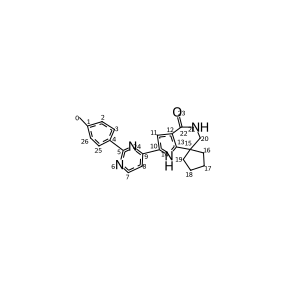 Cc1ccc(-c2nccc(-c3cc4c([nH]3)C3(CCCC3)CNC4=O)n2)cc1